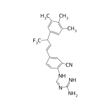 Cc1cc(C(/C=C/c2ccc(N/C=N\C(=N)N)c(C#N)c2)C(F)(F)F)cc(C)c1C